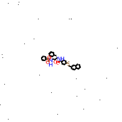 O=C(N[C@@H](Cc1ccccc1)C(=O)CNS(=O)(=O)c1ccccc1)c1ccc(SCc2ccc3ccccc3c2)cc1